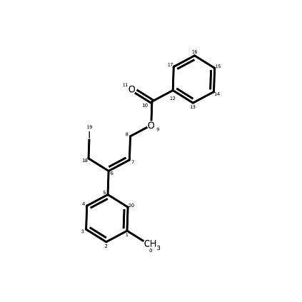 Cc1cccc(C(=CCOC(=O)c2ccccc2)CI)c1